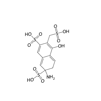 NC1(S(=O)(=O)O)C=c2cc(S(=O)(=O)O)c(CS(=O)(=O)O)c(O)c2=CC1